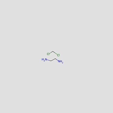 ClCCl.NCCN